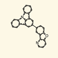 c1cnc2c(c1)oc1ccc(-c3cc4c5ccccc5n5c6ccccc6c(c3)c45)cc12